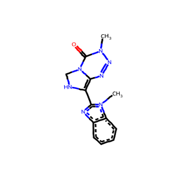 CN1N=NC2=C(c3nc4ccccc4n3C)NCN2C1=O